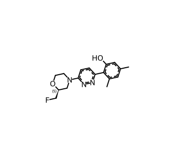 Cc1cc(C)c(-c2ccc(N3CCO[C@H](CF)C3)nn2)c(O)c1